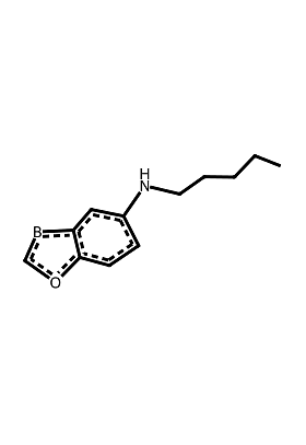 CCCCCNc1ccc2ocbc2c1